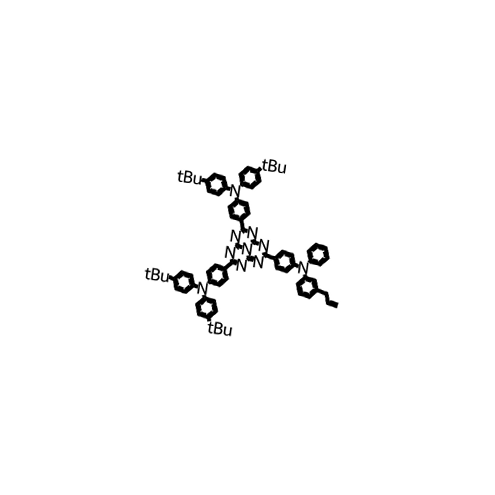 C=CCc1cccc(N(c2ccccc2)c2ccc(C3=NC4=NC(c5ccc(N(c6ccc(C(C)(C)C)cc6)c6ccc(C(C)(C)C)cc6)cc5)=NC5=NC(c6ccc(N(c7ccc(C(C)(C)C)cc7)c7ccc(C(C)(C)C)cc7)cc6)=NC(=N3)N54)cc2)c1